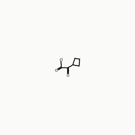 O=C(Cl)C(=O)C1CCC1